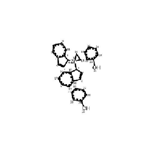 C1=C[CH]([Zr]2([CH]3C=Cc4ccccc43)[CH2][CH2]2)c2ccccc21.Oc1ccccc1.Oc1ccccc1